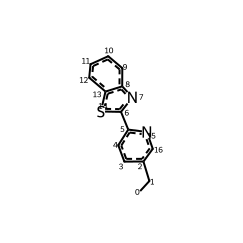 CCc1ccc(-c2nc3ccccc3s2)nc1